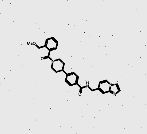 COCc1ccccc1C(=O)N1CCC(c2ccc(C(=O)NCc3ccn4ccnc4c3)cc2)CC1